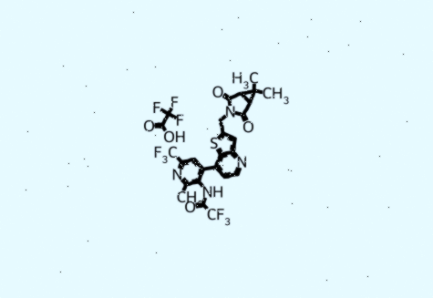 Cc1nc(C(F)(F)F)cc(-c2ccnc3cc(CN4C(=O)C5C(C4=O)C5(C)C)sc23)c1NC(=O)C(F)(F)F.O=C(O)C(F)(F)F